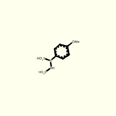 COc1ccc(N(NS(=O)(=O)O)S(=O)(=O)O)cc1